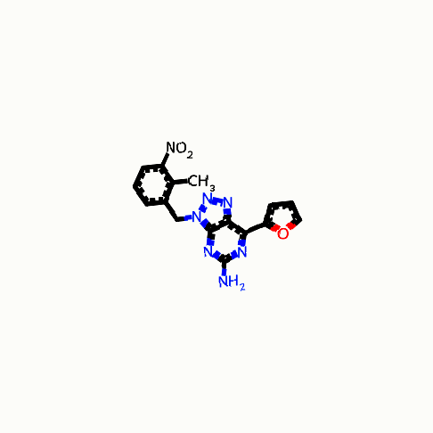 Cc1c(Cn2nnc3c(-c4ccco4)nc(N)nc32)cccc1[N+](=O)[O-]